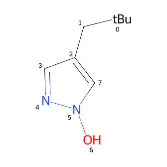 CC(C)(C)Cc1cnn(O)c1